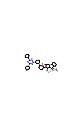 CC1(C)c2ccccc2-c2cc3oc4c(-c5cccc(-c6nc(-c7ccccc7)nc(-c7ccccc7)n6)c5)cccc4c3cc21